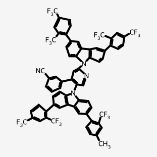 Cc1ccc(-c2ccc3c(c2)c2cc(-c4ccc(C(F)(F)F)cc4C(F)(F)F)ccc2n3-c2cnc(-n3c4ccc(-c5ccc(C(F)(F)F)cc5C(F)(F)F)cc4c4cc(-c5ccc(C(F)(F)F)cc5C(F)(F)F)ccc43)cc2-c2cccc(C#N)c2)c(C(F)(F)F)c1